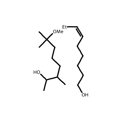 CC/C=C\CCCCCO.COC(C)(C)CCCC(C)C(C)O